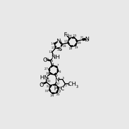 CC(C)CN1c2ccc(C(=O)NCc3cnc(-c4ccc(C#N)cc4F)s3)cc2NC(=O)c2ccccc21